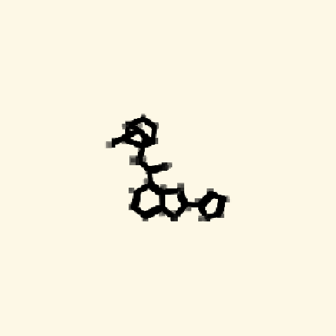 O=C(NC1C2CCN(CC2)C1I)c1cccc2oc(-c3cccs3)nc12